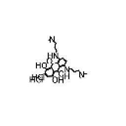 CN(C)CCCNc1ccc(NCCCN(C)C)c2c1C(=O)c1c(O)ccc(O)c1C2=O.Cl.Cl